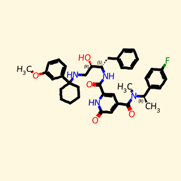 COc1cccc(C2(NC[C@@H](O)[C@H](Cc3ccccc3)NC(=O)c3cc(C(=O)N(C)[C@H](C)c4ccc(F)cc4)cc(=O)[nH]3)CCCCC2)c1